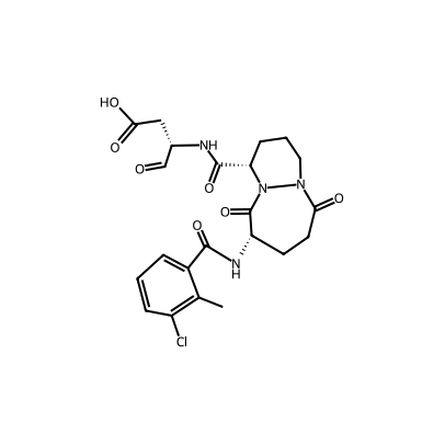 Cc1c(Cl)cccc1C(=O)N[C@H]1CCC(=O)N2CCC[C@@H](C(=O)N[C@H](C=O)CC(=O)O)N2C1=O